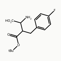 CC(C)(C)OC(=O)C(Cc1ccc(F)cc1)C(N)C(=O)O